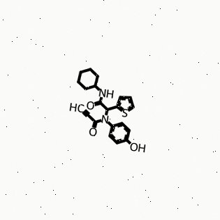 C#CC(=O)N(c1ccc(O)cc1)C(C(=O)NC1CCCCC1)c1cccs1